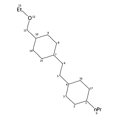 CCCC1CCC(CCC2CCC(COCC)CC2)CC1